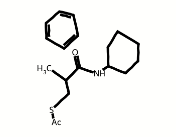 CC(=O)SCC(C)C(=O)NC1CCCCC1.c1ccccc1